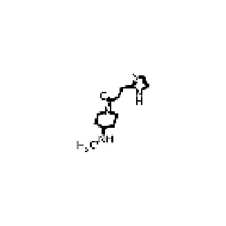 CNC1CCN(C(=O)CCc2ncc[nH]2)CC1